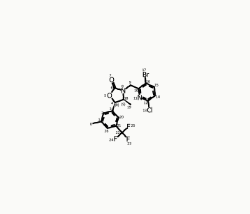 Cc1cc([C@H]2OC(=O)N(Cc3nc(Cl)ccc3Br)[C@H]2C)cc(C(F)(F)F)c1